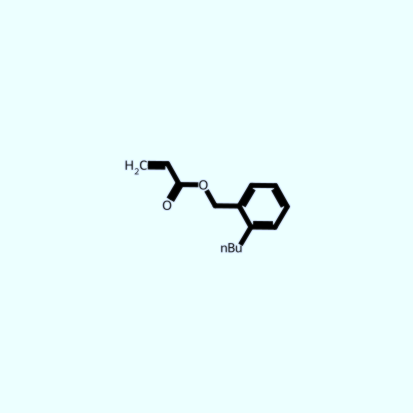 C=CC(=O)OCc1ccccc1CCCC